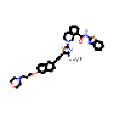 O=C(Nc1nc2ccccc2s1)c1cccc2c1CN(c1nc(C(=O)O)c(C#Cc3ccc4cc(OCCCN5CCOCC5)ccc4c3)s1)CC2